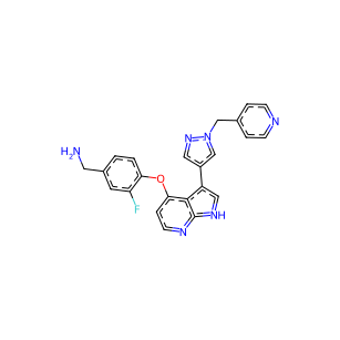 NCc1ccc(Oc2ccnc3[nH]cc(-c4cnn(Cc5ccncc5)c4)c23)c(F)c1